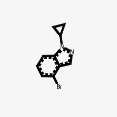 Brc1cccc2c1cnn2C1CC1